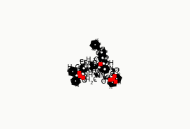 C=CCOC1C(OC2C(O)C(NC(=O)OCc3ccccc3)CC(NC(=O)OCc3ccccc3)C2OC2OC3COC(c4ccccc4)OC3C(C)C2C)OC(CC)C1OC1OC(CC)C(C)C(OC(=O)c2ccccc2)C1NC(=O)OCc1ccccc1